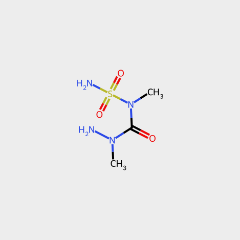 CN(N)C(=O)N(C)S(N)(=O)=O